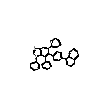 c1ccc(-c2c(-c3ccc(-c4cccc5ccccc45)cc3)c(-c3ccccn3)cc3ncn(-c4ccccc4)c23)cc1